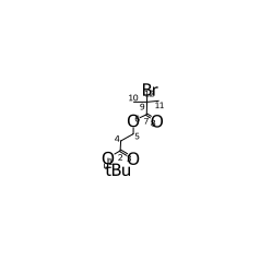 CC(C)(C)OC(=O)CCOC(=O)C(C)(C)Br